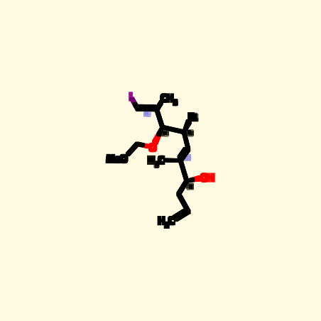 C=CC[C@H](O)/C(C)=C/[C@H](CC)[C@@H](OCOC)/C(C)=C/I